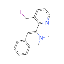 CN(C)C(=Cc1ccccc1)c1ncccc1CI